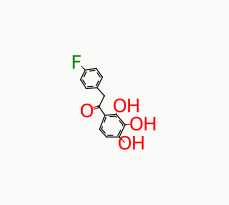 O=C(Cc1ccc(F)cc1)c1ccc(O)c(O)c1O